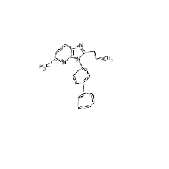 C=CCc1nc2ccc(C)nc2n1-c1ccc(-c2ccccc2)cc1